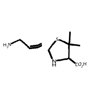 C=CCN.CC1(C)SCNC1C(=O)O